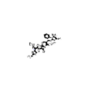 CCO/N=C(\C(=O)NC1C(=O)N2C(C(=O)[O-])=C(CSc3nc(N)cc(N)[n+]3-c3ccccc3)CS[C@H]12)c1csc(N)n1